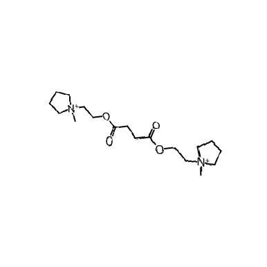 C[N+]1(CCOC(=O)CCC(=O)OCC[N+]2(C)CCCC2)CCCC1